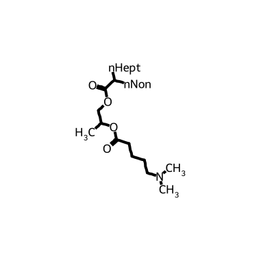 CCCCCCCCCC(CCCCCCC)C(=O)OCC(C)OC(=O)CCCCN(C)C